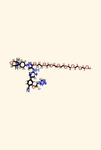 COCCOCCOCCOCCOCCOCCOCCCOc1nn(C2CCC(N3[C@@H]4CC[C@H]3COC4)CC2)cc1Nc1ncc(-c2ccc(C#N)c(O[C@@H](C)Cn3cnnn3)c2)cn1